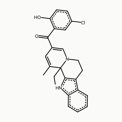 CCC12C(C)=CC(C(=O)c3cc(Cl)ccc3O)=CN1CCc1c2[nH]c2ccccc12